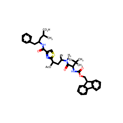 CCC(C)(C)C(NC(=O)OCC1c2ccccc2-c2ccccc21)C(=O)N(C)C(CC(OC(C)=O)c1nc(C(=O)NC(Cc2ccccc2)CC(C)C(=O)O)cs1)C(C)C